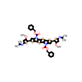 CCCOc1cc(N=C(C#N)C#N)sc1-c1cc2c(s1)c1sc3c(sc4c5sc(-c6sc(N=C(C#N)C#N)cc6OCCC)cc5n(C(=O)OCc5ccccc5)c43)c1n2C(=O)OCc1ccccc1